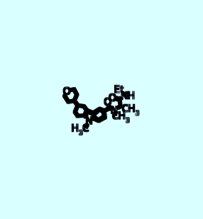 CCNC(=O)[C@@H](C)N(C)C(=O)c1ccc2c(c1)c1c(n2C)CCC(C2CCOCC2)C1